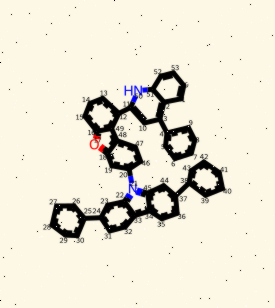 C1=CC2=C(c3ccccc3)C=C(c3cccc4oc5cc(-n6c7cc(-c8ccccc8)ccc7c7ccc(-c8ccccc8)cc76)ccc5c34)NC2C=C1